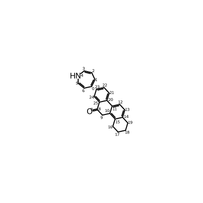 C1=CC=CNC=C1.O=C1Cc2c(ccc3c2CCCC3)-c2ccccc21